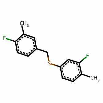 Cc1cc(CSc2ccc(C)c(F)c2)ccc1F